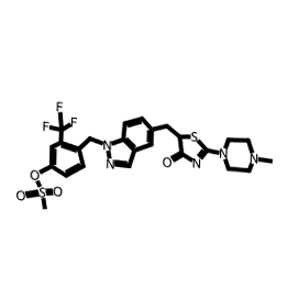 CN1CCN(C2=NC(=O)C(Cc3ccc4c(cnn4Cc4ccc(OS(C)(=O)=O)cc4C(F)(F)F)c3)S2)CC1